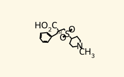 CN1CCC(S(=O)(=O)C[C@@H](Cc2ccccc2)C(=O)O)CC1